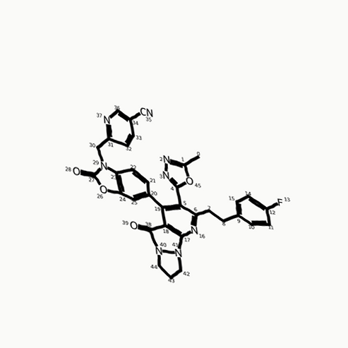 Cc1nnc(-c2c(CCc3ccc(F)cc3)nc3c(c2-c2ccc4c(c2)oc(=O)n4Cc2ccc(C#N)cn2)c(=O)n2n3CCC2)o1